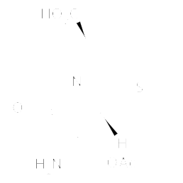 CC(=O)OC1(N)C(=O)N2[C@@H](C(=O)O)C(C)(C)S[C@@H]21